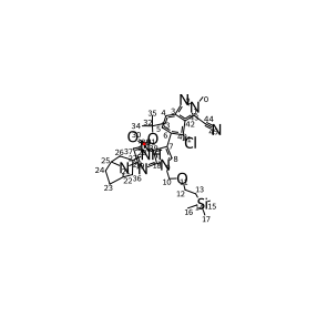 Cn1nc2ccc(-c3cn(COCC[Si](C)(C)C)c4nc(N5C6CCC5CC(NC(=O)OC(C)(C)C)C6)cnc34)c(Cl)c2c1C#N